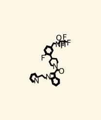 O=C(c1cn(CCc2ccccn2)c2ccccc12)N1CCC(c2cc(CNC(=O)C(F)(F)F)ccc2F)CC1